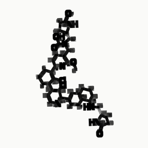 COc1nc(-c2cccc(-c3ccnc(-c4ccc5c(c4)CCCC5NC[C@@H]4CCC(=O)N4)c3Cl)c2Cl)ccc1CN(C[C@@H]1CCC(=O)N1)C(=O)O